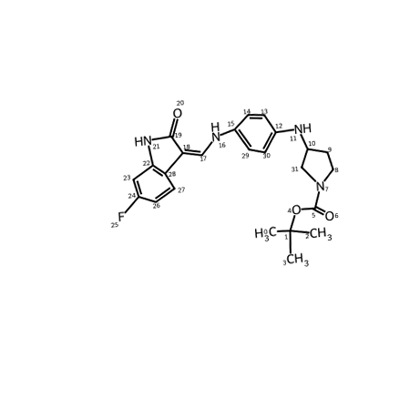 CC(C)(C)OC(=O)N1CCC(Nc2ccc(N/C=C3\C(=O)Nc4cc(F)ccc43)cc2)C1